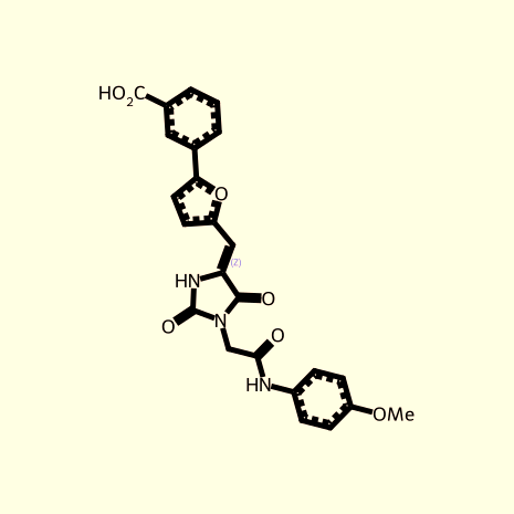 COc1ccc(NC(=O)CN2C(=O)N/C(=C\c3ccc(-c4cccc(C(=O)O)c4)o3)C2=O)cc1